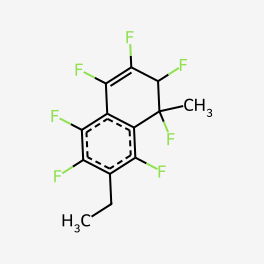 CCc1c(F)c(F)c2c(c1F)C(C)(F)C(F)C(F)=C2F